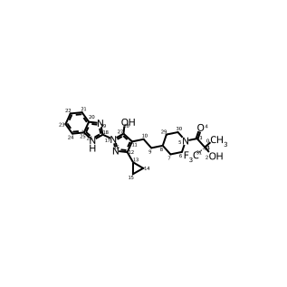 C[C@@](O)(C(=O)N1CCC(CCc2c(C3CC3)nn(-c3nc4ccccc4[nH]3)c2O)CC1)C(F)(F)F